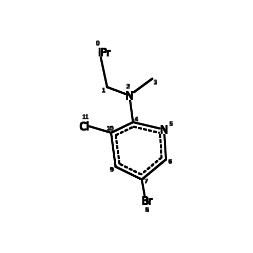 CC(C)CN(C)c1ncc(Br)cc1Cl